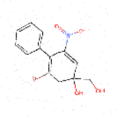 O=[N+]([O-])C1=CC(O)(CO)CC(Br)=C1c1ccccc1